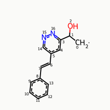 [CH2]C(O)c1cc(C=Cc2ccccc2)cnn1